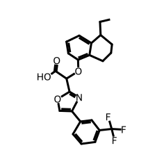 CCC1CCCc2c(OC(C(=O)O)c3nc(-c4cccc(C(F)(F)F)c4)co3)cccc21